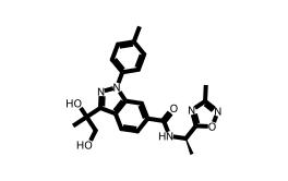 Cc1ccc(-n2nc(C(C)(O)CO)c3ccc(C(=O)N[C@H](C)c4nc(C)no4)cc32)cc1